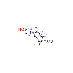 Cc1c(F)c(N2CCC(O)CC2)cc2c1c(=O)c(C(=O)O)c1n2CS1